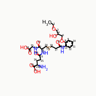 CCOCC(O)COc1ccccc1NC(=O)CCSCC(NC(=O)CCC(N)C(=O)O)C(=O)NCC(=O)O